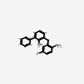 Nc1ccc(F)cc1Cc1cccc(-c2ccccc2)c1N